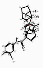 Cc1cccnc1[C@@H](O)[C@@]1(O)C2CC[C@H]1C[C@H](S(=O)(=O)c1cc(C(=O)Nc3ccc(F)c(F)c3)ccc1Cl)C2